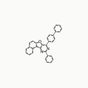 c1ccc(-c2ccc(-c3nc(-c4ccccc4)nc4c3oc3ccc5ccccc5c34)cc2)cc1